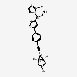 CCc1nccn1[C@H](CN)c1cc(-c2ccc(C#C[C@@H]3[C@H]4CN(C(C)=O)C[C@@H]34)cc2)on1